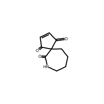 O=C1C=CC(=O)C12CCCCNC2=O